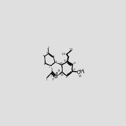 C=C(C)[C@@H]1CCC(C)=C[C@H]1C1C(CC)=CC(O)=CC1Br